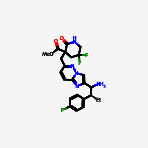 CC[C@@H](c1ccc(F)cc1)C(N)c1cn2nc(CC3(C(=O)OC)CC(F)(F)CNC3=O)ccc2n1